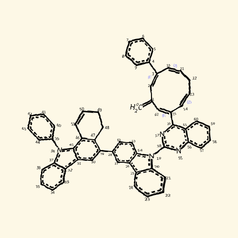 C=C1/C=C(c2ccccc2)\C=C/C/C=C\C(c2nc(-n3c4ccccc4c4cc(-c5cc6c7ccccc7n(-c7ccccc7)c6c6c5CCC=C6)ccc43)nc3ccccc23)=C/1